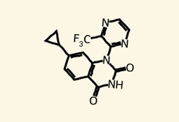 O=c1[nH]c(=O)n(-c2nccnc2C(F)(F)F)c2cc(C3CC3)ccc12